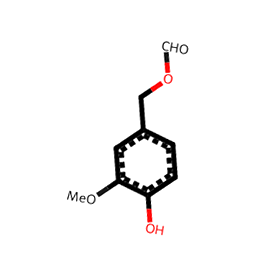 COc1cc(COC=O)ccc1O